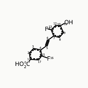 O=C(O)c1ccc(C#Cc2ccc(O)cc2F)c(F)c1